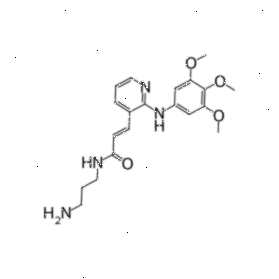 COc1cc(Nc2ncccc2/C=C/C(=O)NCCCN)cc(OC)c1OC